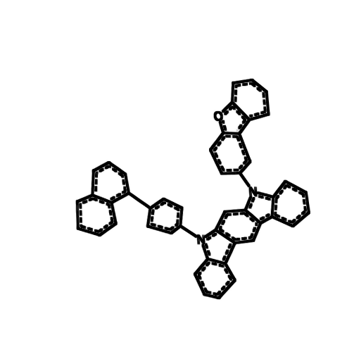 c1ccc2c(-c3ccc(-n4c5ccccc5c5cc6c7ccccc7n(-c7ccc8oc9ccccc9c8c7)c6cc54)cc3)cccc2c1